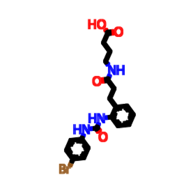 O=C(O)CCCNC(=O)CCc1ccccc1NC(=O)Nc1ccc(Br)cc1